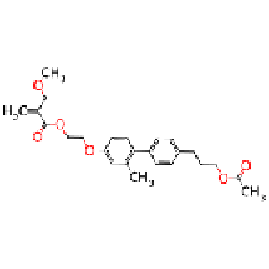 C=C(COC)C(=O)OCCOc1ccc(-c2ccc(CCCOC(C)=O)cc2)c(C)c1